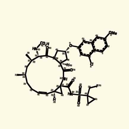 COc1ccc2c(Cl)cc(O[C@@H]3C[C@H]4C(=O)N[C@]5(C(=O)NS(=O)(=O)C6(CF)CC6)C[C@H]5C=CCC[C@@H](C)C[C@@H](C)[C@H](NC(=O)O)C(=O)N4C3)nc2c1